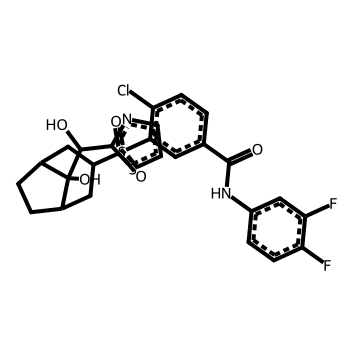 O=C(Nc1ccc(F)c(F)c1)c1ccc(Cl)c(S(=O)(=O)C2CC3CCC(C2)C3(O)C(O)c2nccs2)c1